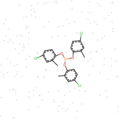 Cc1cc(Cl)ccc1OP(Oc1ccc(Cl)cc1C)Oc1ccc(Cl)cc1C